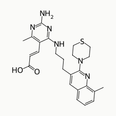 Cc1nc(N)nc(NCCCc2cc3cccc(C)c3nc2N2CCSCC2)c1C=CC(=O)O